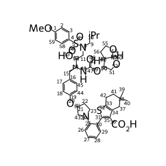 COc1ccc(S(=O)(=O)N(CC(C)C)C[C@@H](O)[C@H](Cc2ccc(O[C@@H]3CCN(c4ccccc4-c4sc5c(c4C(=O)O)CC(C)(C)CC5)C3)cc2)NC(=O)O[C@H]2CO[C@H]3OCC[C@H]32)cc1